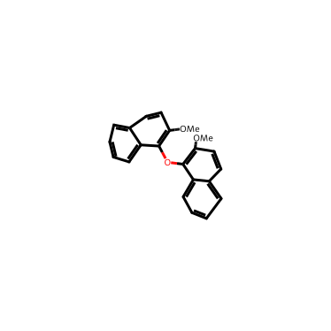 COc1ccc2ccccc2c1Oc1c(OC)ccc2ccccc12